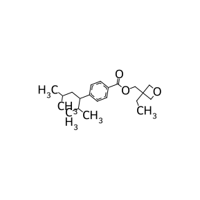 CCC1(COC(=O)c2ccc(C(CC(C)C)C(C)C)cc2)COC1